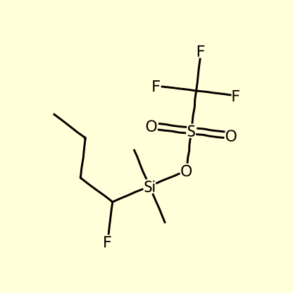 CCCC(F)[Si](C)(C)OS(=O)(=O)C(F)(F)F